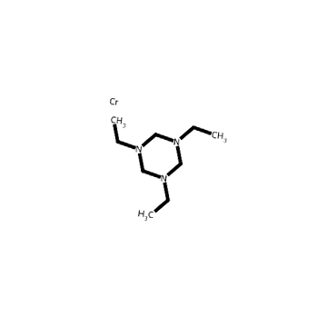 CCN1CN(CC)CN(CC)C1.[Cr]